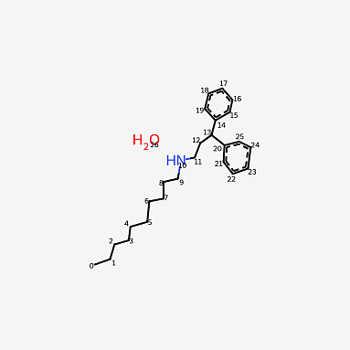 CCCCCCCCCCNCCC(c1ccccc1)c1ccccc1.O